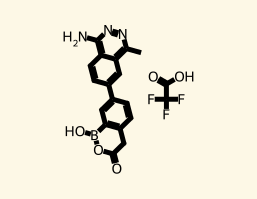 Cc1nnc(N)c2ccc(-c3ccc4c(c3)B(O)OC(=O)C4)cc12.O=C(O)C(F)(F)F